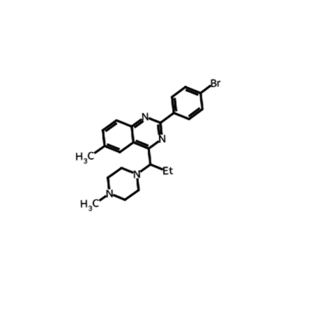 [CH2]CC(c1nc(-c2ccc(Br)cc2)nc2ccc(C)cc12)N1CCN(C)CC1